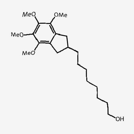 COc1c2c(c(OC)c(OC)c1OC)CC(CCCCCCCCO)C2